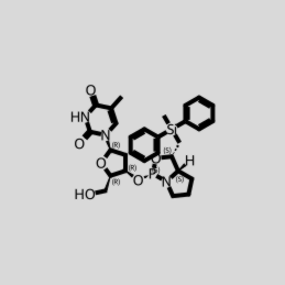 Cc1cn([C@H]2C[C@@H](O[P@]3O[C@H](C[Si](C)(c4ccccc4)c4ccccc4)[C@@H]4CCCN43)[C@@H](CO)O2)c(=O)[nH]c1=O